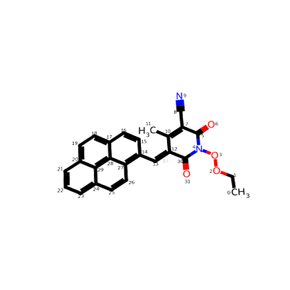 CCOON1C(=O)C(C#N)=C(C)/C(=C\c2ccc3ccc4cccc5ccc2c3c45)C1=O